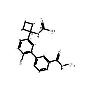 CNC(=O)c1cccc(-c2cc(C3(NC(=O)O)CCC3)ccc2F)c1